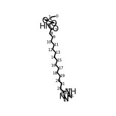 CCS(=O)(=O)NC(=O)CCCCCCCCCCCCCCCc1nnn[nH]1